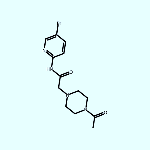 CC(=O)N1CCN(CC(=O)Nc2ccc(Br)cn2)CC1